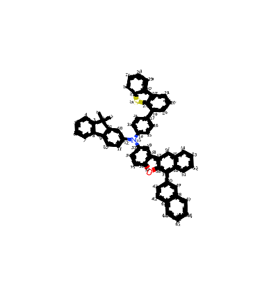 CC1(C)c2ccccc2-c2ccc(N(c3ccc(-c4cccc5c4sc4ccccc45)cc3)c3ccc4oc5c(-c6ccc7ccccc7c6)c6ccccc6cc5c4c3)cc21